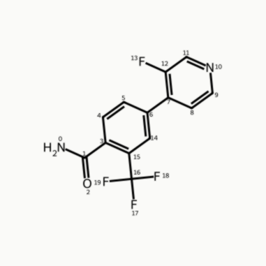 NC(=O)c1ccc(-c2ccncc2F)cc1C(F)(F)F